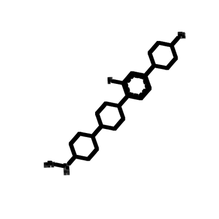 CCCNC1CCC(C2CCC(c3ccc(C4CCC(CC)CC4)cc3F)CC2)CC1